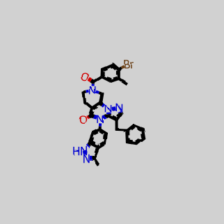 Cc1cc(C(=O)N2CCc3c(n4ncc(Cc5ccccc5)c4n(-c4ccc5c(C)n[nH]c5c4)c3=O)C2)ccc1Br